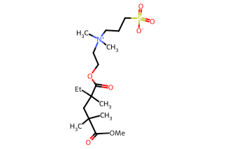 CCC(C)(CC(C)(C)C(=O)OC)C(=O)OCC[N+](C)(C)CCCS(=O)(=O)[O-]